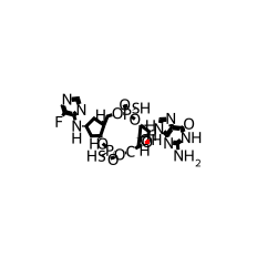 Nc1nc2c(ncn2[C@@H]2O[C@@H]3CO[P@@](=O)(S)O[C@H]4C[C@H](Nc5ncncc5F)C[C@@H]4CO[P@](=O)(S)O[C@@H]2[C@@H]3O)c(=O)[nH]1